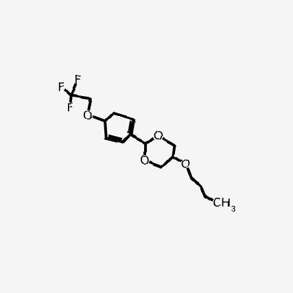 CCCCOC1COC(C2=CCC(OCC(F)(F)F)C=C2)OC1